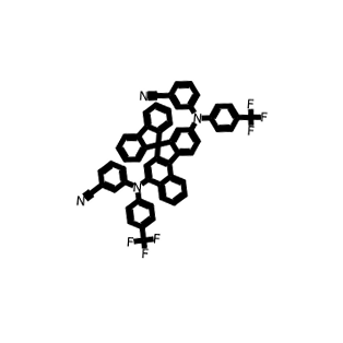 N#Cc1cccc(N(c2ccc(C(F)(F)F)cc2)c2ccc3c(c2)C2(c4ccccc4-c4ccccc42)c2cc(N(c4ccc(C(F)(F)F)cc4)c4cccc(C#N)c4)c4ccccc4c2-3)c1